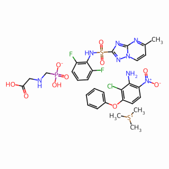 C[S+](C)C.Cc1ccn2nc(S(=O)(=O)Nc3c(F)cccc3F)nc2n1.Nc1c([N+](=O)[O-])ccc(Oc2ccccc2)c1Cl.O=C(O)CNCP(=O)([O-])O